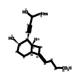 CCCCCCC(O)C#C[C@H]1[C@@H](O)CCC2/C(=C/CCC(=O)O)C[C@@H]21